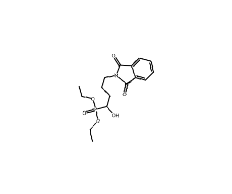 CCOP(=O)(OCC)C(O)CCCN1C(=O)c2ccccc2C1=O